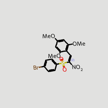 COc1cc(OC)c(/C=C(/[N+](=O)[O-])S(=O)(=O)c2ccc(Br)cc2)c(OC)c1